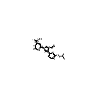 CC(C)COc1cccc(-c2cn(-c3cc(C(=O)O)ccn3)cc2C#N)c1